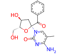 Cc1cn([C@@]2(C(=O)c3ccccc3)C[C@H](O)[C@@H](CO)O2)c(=O)nc1N